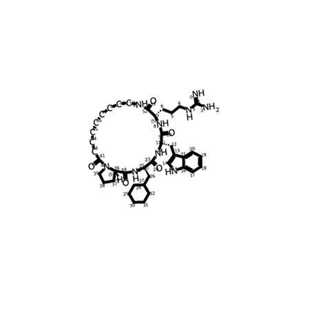 N=C(N)NCCC[C@@H]1NC(=O)[C@H](Cc2c[nH]c3ccccc23)NC(=O)[C@@H](CC2CCCCC2)NC(=O)[C@@H]2CCCN2C(=O)CCCCCCCCNC1=O